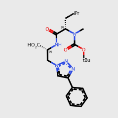 CC(C)C[C@@H](C(=O)N[C@H](Cn1cc(-c2ccccc2)nn1)C(=O)O)N(C)C(=O)OC(C)(C)C